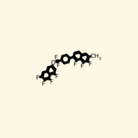 Cc1cc2ccc(C3CCC(C(F)(F)Oc4cc(F)c5c(F)c(F)c(F)cc5c4)CC3)c(F)c2c(F)c1F